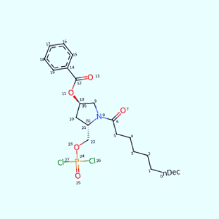 CCCCCCCCCCCCCCCC(=O)N1C[C@H](OC(=O)c2ccccc2)C[C@H]1COP(=O)(Cl)Cl